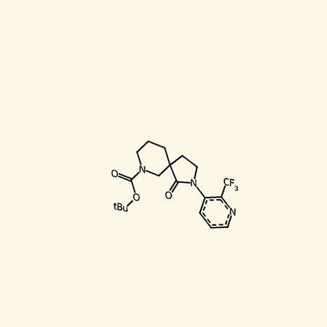 CC(C)(C)OC(=O)N1CCCC2(CCN(c3cccnc3C(F)(F)F)C2=O)C1